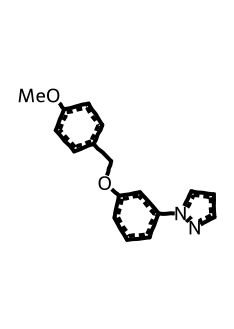 COc1ccc(COc2cccc(-n3cccn3)c2)cc1